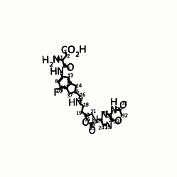 NC(CC(=O)O)C(=O)Nc1cc(F)c2c(c1)CC(CNCCC1CN(c3cnc4c(n3)NC(=O)CO4)C(=O)O1)C2